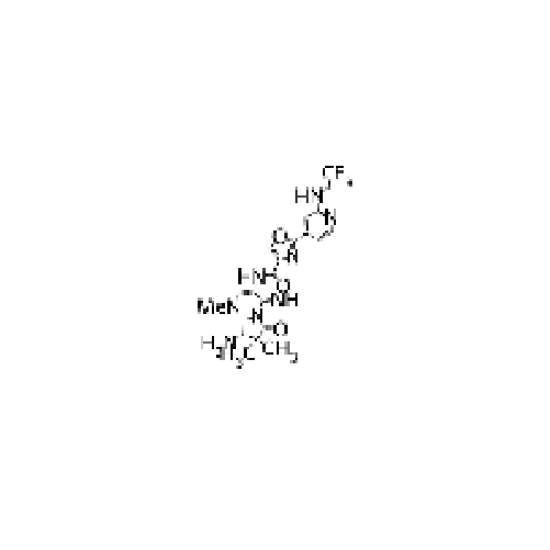 CN/C=C(/NC(=O)c1coc(-c2ccnc(NCC(F)(F)F)c2)n1)C(=N)N1CC(N)C(C)(C)C1=O